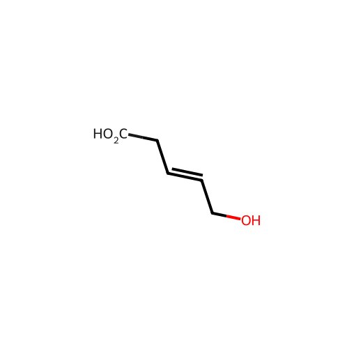 O=C(O)CC=CCO